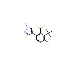 Cc1ccc(-c2cnn(C)c2)c(C(F)F)c1C(C)(C)C